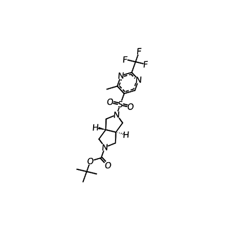 Cc1nc(C(F)(F)F)ncc1S(=O)(=O)N1C[C@H]2CN(C(=O)OC(C)(C)C)C[C@@H]2C1